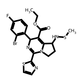 CCOC(=O)C1=C2C(NSC)CCN2C(c2nccs2)=NC1c1ccc(F)cc1Br